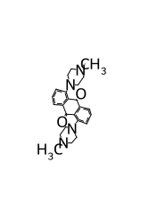 CN1CCN(c2cccc3c2C(=O)c2cccc(N4CCN(C)CC4)c2C3=O)CC1